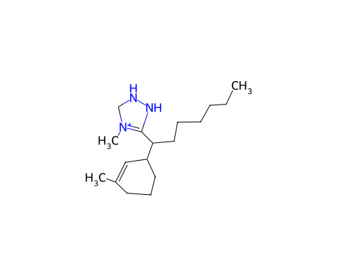 CCCCCCC(C1=[N+](C)CNN1)C1C=C(C)CCC1